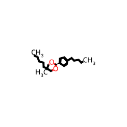 CCCCCC[C@]1(C)CO[C@@H](c2ccc(CCCCC)cc2)OC1